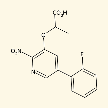 CC(Oc1cc(-c2ccccc2F)cnc1[N+](=O)[O-])C(=O)O